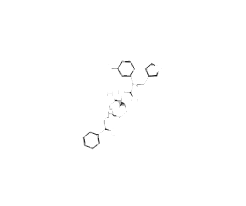 O=C(C[N+]12CCC(CC1)[C@@H](OC(=O)N(Cc1ccsc1)c1cccc(F)c1)C2)c1ccccc1